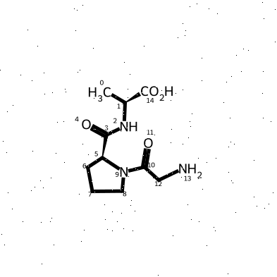 C[C@H](NC(=O)[C@@H]1CCCN1C(=O)CN)C(=O)O